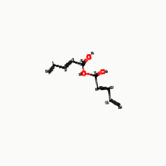 C=CC=CC(=O)OC(=O)C=CC=C